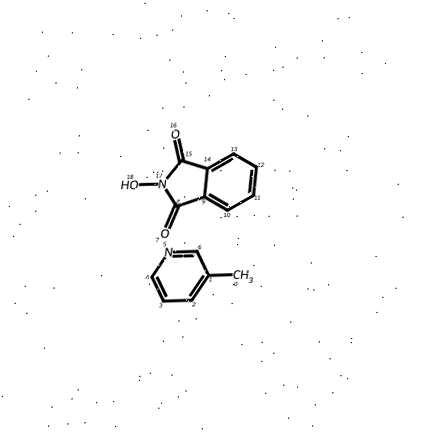 Cc1cccnc1.O=C1c2ccccc2C(=O)N1O